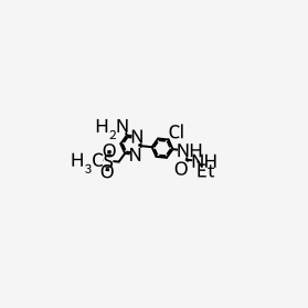 CCNC(=O)Nc1ccc(-c2nc(N)cc(CS(C)(=O)=O)n2)cc1Cl